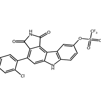 O=C1NC(=O)c2c1c(-c1ccccc1Cl)cc1[nH]c3ccc(OS(=O)(=O)C(F)(F)F)cc3c21